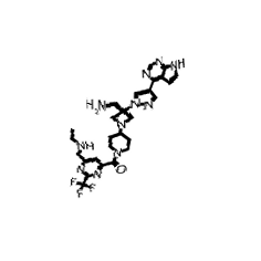 CCNCc1cc(C(=O)N2CCC(N3CC(CN)(n4cc(-c5ncnc6[nH]ccc56)cn4)C3)CC2)nc(C(F)(F)F)n1